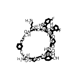 C[C@@H](O)[C@@H]1NC(=O)[C@@H]2CCCN2C(=O)[C@H](Cc2c[nH]c3ccc(F)cc23)NC(=O)[C@H](Cc2c[nH]c3ccc(F)cc23)NC(=O)CNC(=O)[C@H](CCCCN)NC(=O)CCSCc2cccc(c2)CSC[C@@H](C(N)=O)NC(=O)[C@]2(C)CCCN2C(=O)[C@H](Cc2ccc(O)cc2)NC1=O